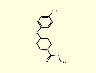 CC(C)(C)OC(=O)N1CCC(Oc2ccc(O)cn2)CC1